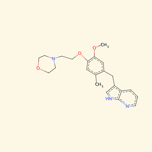 COc1cc(Cc2c[nH]c3ncccc23)c(C)cc1OCCN1CCOCC1